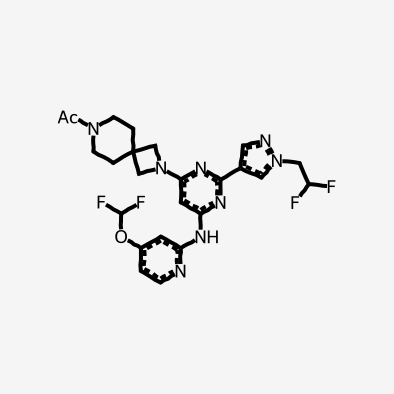 CC(=O)N1CCC2(CC1)CN(c1cc(Nc3cc(OC(F)F)ccn3)nc(-c3cnn(CC(F)F)c3)n1)C2